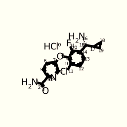 Cl.NC(=O)c1ccc(Oc2c(Cl)ccc([C@H](N)C3CC3)c2F)cn1